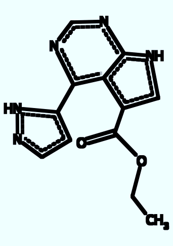 CCOC(=O)c1c[nH]c2ncnc(-c3ccn[nH]3)c12